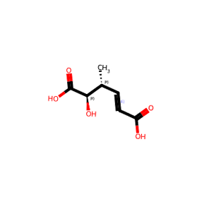 C[C@H](/C=C/C(=O)O)[C@@H](O)C(=O)O